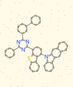 c1ccc(-c2cccc(-c3nc(-c4ccccc4)nc(-c4ccc(-n5c6ccccc6c6cc7ccccc7cc65)c5c4sc4ccccc45)n3)c2)cc1